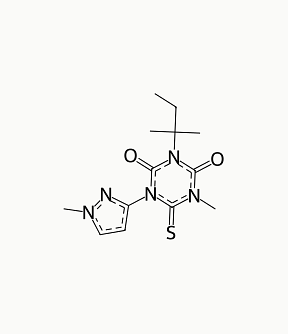 CCC(C)(C)n1c(=O)n(C)c(=S)n(-c2ccn(C)n2)c1=O